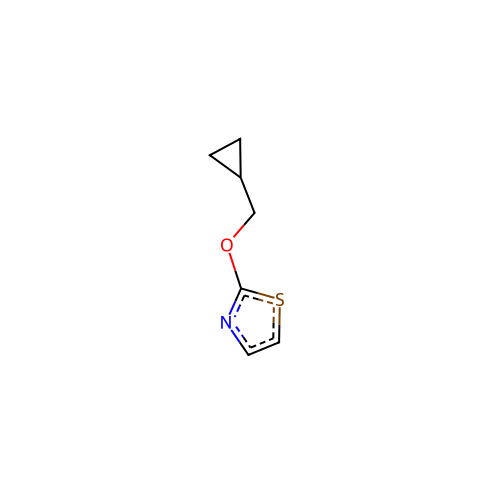 c1csc(OCC2CC2)n1